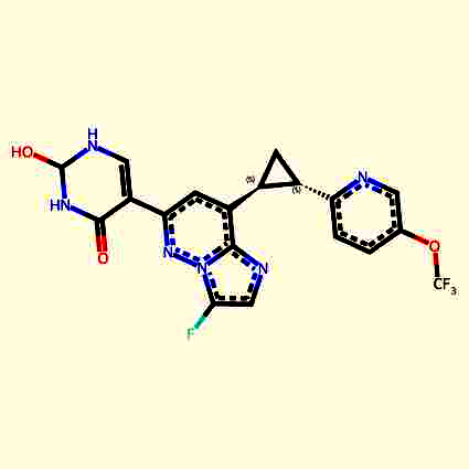 O=C1NC(O)NC=C1c1cc([C@H]2C[C@@H]2c2ccc(OC(F)(F)F)cn2)c2ncc(F)n2n1